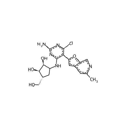 Cc1cc2cc(-c3c(Cl)nc(N)nc3NC3C[C@H](CO)[C@@H](O)[C@H]3O)oc2cn1